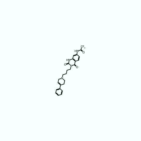 O=C(Nc1ccc2c(=O)n(CCCCN3CC=C(c4ccccc4)CC3)c(=O)[nH]c2c1)C(F)(F)F